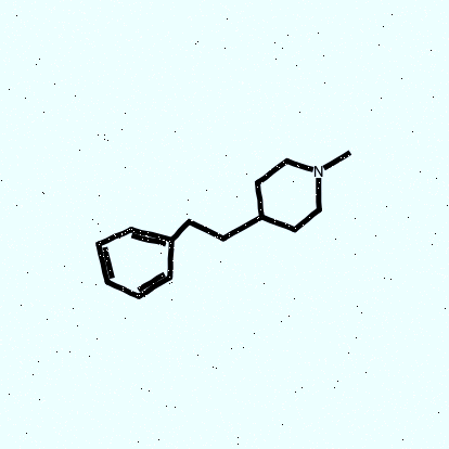 CN1CCC(CCc2ccccc2)CC1